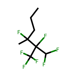 CCCC(C)(F)C(F)(C(F)F)C(F)(F)F